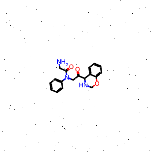 NCC(=O)N(CC(=O)C1NCOc2ccccc21)c1ccccc1